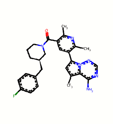 Cc1nc(C)c(-c2cc(C(F)(F)F)c3c(N)ncnn23)cc1C(=O)N1CCC[C@H](Cc2ccc(F)cc2)C1